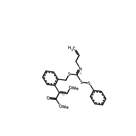 C=CC/N=C(\SCc1ccccc1/C(=C\OC)C(=O)OC)SSc1ccccc1